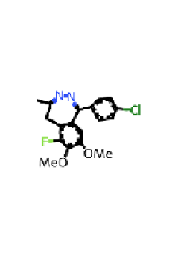 COc1cc2c(c(F)c1OC)CC(C)=NN=C2c1ccc(Cl)cc1